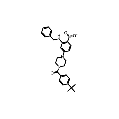 CC(C)(C)c1ccc(C(=O)N2CCN(c3ccc([N+](=O)[O-])c(NCc4ccccc4)c3)CC2)cc1